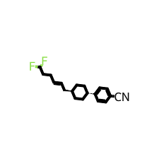 N#Cc1ccc([C@H]2CC[C@H](CC=CCCC(F)F)CC2)cc1